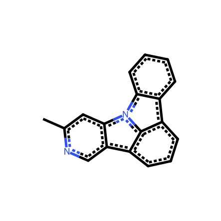 Cc1cc2c(cn1)c1cccc3c4ccccc4n2c31